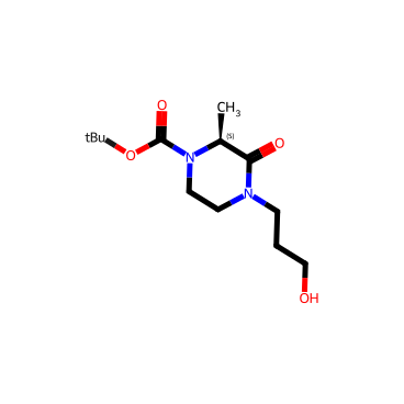 C[C@H]1C(=O)N(CCCO)CCN1C(=O)OC(C)(C)C